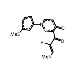 CC/C(=C\NC)C(=O)c1nn(-c2cccc(SC)c2)ccc1=O